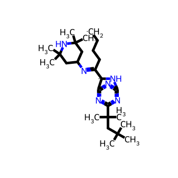 [CH2]CCCC(=NC1CC(C)(C)NC(C)(C)C1)[C]1Nc2nc1nc(C(C)(C)CC(C)(C)C)n2